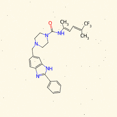 C/C(=C\C=C(/C)C(F)(F)F)NC(=O)N1CCN(Cc2ccc3nc(-c4ccccc4)[nH]c3c2)CC1